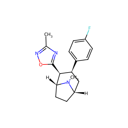 Cc1noc([C@H]2[C@@H](c3ccc(F)cc3)C[C@@H]3CC[C@H]2N3C)n1